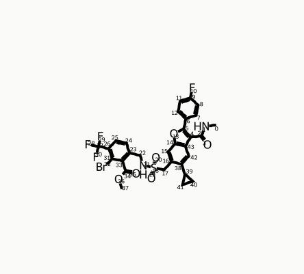 CNC(=O)c1c(-c2ccc(F)cc2)oc2cc(CS(=O)(=O)NCc3ccc(C(F)(F)F)c(Br)c3C(=O)OC)c(C3CC3)cc12